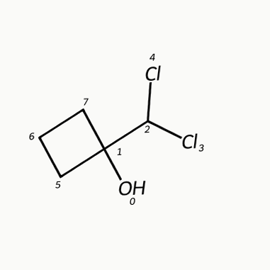 OC1(C(Cl)Cl)CCC1